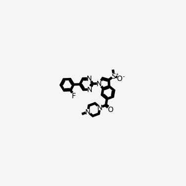 CN1CCN(C(=O)c2ccc3c([S+](C)[O-])cn(-c4ncc(-c5ccccc5F)cn4)c3c2)CC1